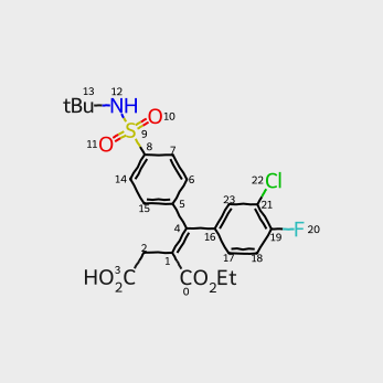 CCOC(=O)C(CC(=O)O)=C(c1ccc(S(=O)(=O)NC(C)(C)C)cc1)c1ccc(F)c(Cl)c1